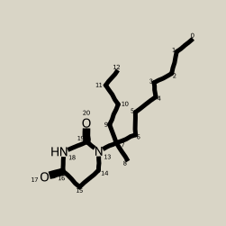 CCCCCCCC(C)(CCCC)N1CCC(=O)NC1=O